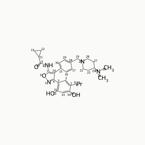 CC(C)c1cc(-c2noc(NC(=O)C3CC3)c2-c2ccc(CN3CCC(N(C)C)CC3)cc2)c(O)cc1O